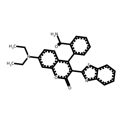 CCN(CC)c1ccc2c(-c3ccccc3C(N)=O)c(-c3nc4ccccc4s3)c(=O)oc2c1